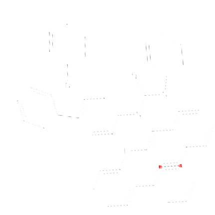 c1ccc(-c2ccccc2B2c3cc4c5ccccc5n(-c5ccccc5)c4cc3-n3c4c2ccc2cccc(c24)n2c4ccccc4nc32)cc1